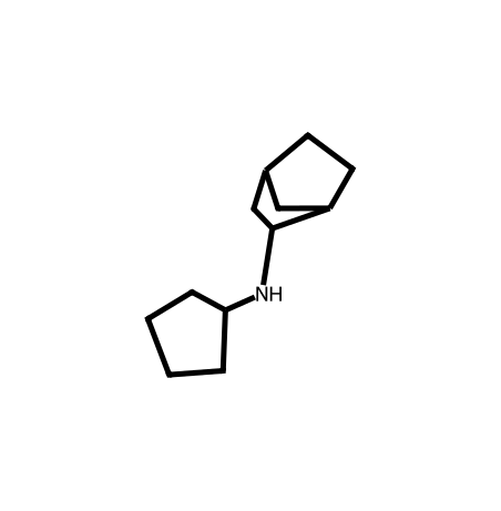 C1CCC(NC2CC3CCC2C3)C1